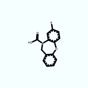 O=C(O)N1Cc2ccccc2Oc2ccc(F)cc21